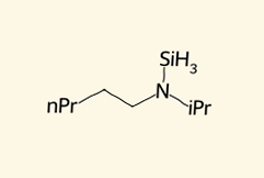 CCCCCN([SiH3])C(C)C